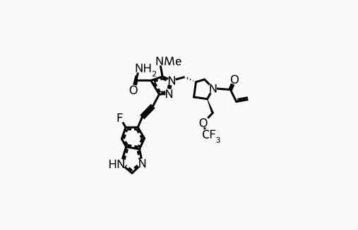 C=CC(=O)N1C[C@@H](Cn2nc(C#Cc3cc4nc[nH]c4cc3F)c(C(N)=O)c2NC)C[C@@H]1COC(F)(F)F